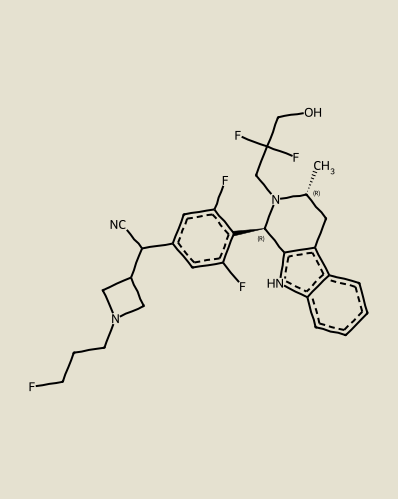 C[C@@H]1Cc2c([nH]c3ccccc23)[C@@H](c2c(F)cc(C(C#N)C3CN(CCCF)C3)cc2F)N1CC(F)(F)CO